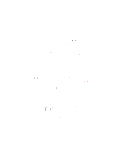 COc1ccc2c(c1Cl)c(CC(=O)O)c(C)n2C(=O)c1csc(OC(F)(F)F)c1